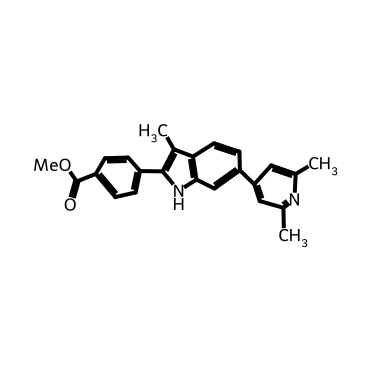 COC(=O)c1ccc(-c2[nH]c3cc(-c4cc(C)nc(C)c4)ccc3c2C)cc1